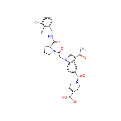 CC(=O)c1cn(CC(=O)N2CCC[C@H]2C(=O)NCc2cccc(Cl)c2F)c2ccc(C(=O)N3CC=C(B(O)O)CC3)cc12